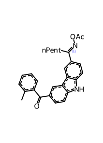 CCCCC/C(=N\OC(C)=O)c1ccc2[nH]c3ccc(C(=O)c4ccccc4C)cc3c2c1